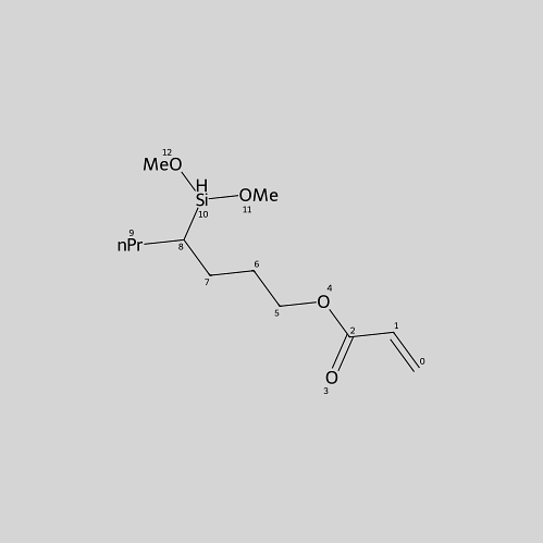 C=CC(=O)OCCCC(CCC)[SiH](OC)OC